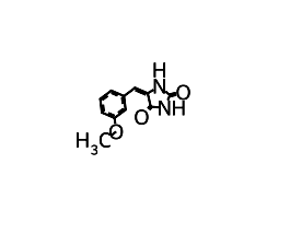 COc1cccc(/C=C2/NC(=O)NC2=O)c1